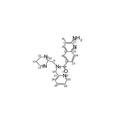 Cc1cc2cc(C(=O)N(CC3=NCCC=N3)Cc3ccccn3)ccc2nc1N